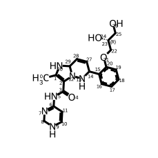 CC1=C(C(=O)NC2=NCNC=C2)N2NC(c3ccccc3OC[C@H](O)CO)C=CC2N1